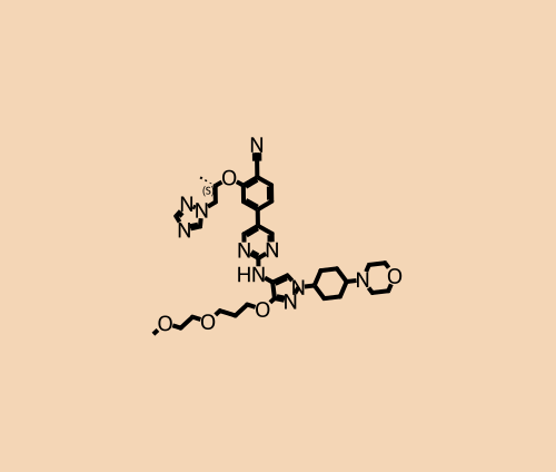 COCCOCCCOc1nn(C2CCC(N3CCOCC3)CC2)cc1Nc1ncc(-c2ccc(C#N)c(O[C@@H](C)Cn3cncn3)c2)cn1